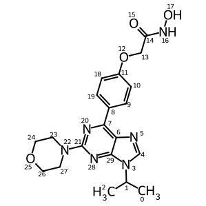 CC(C)n1cnc2c(-c3ccc(OCC(=O)NO)cc3)nc(N3CCOCC3)nc21